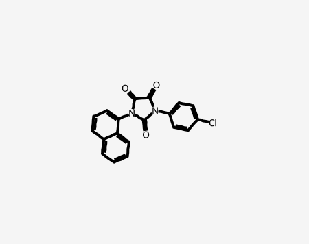 O=C1C(=O)N(c2cccc3ccccc23)C(=O)N1c1ccc(Cl)cc1